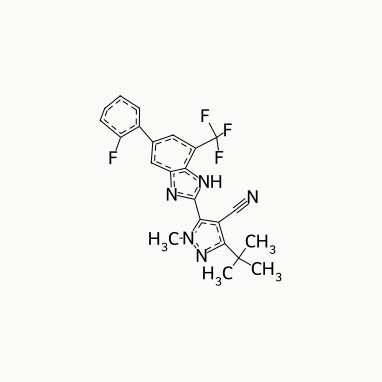 Cn1nc(C(C)(C)C)c(C#N)c1-c1nc2cc(-c3ccccc3F)cc(C(F)(F)F)c2[nH]1